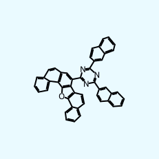 c1ccc2cc(-c3nc(-c4ccc5ccccc5c4)nc(-c4cc5ccc6ccccc6c5c5oc6c7ccccc7ccc6c45)n3)ccc2c1